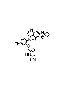 Cc1cc(N=S2(=O)CCC2)cc2ncnc(Nc3ccc(Cl)cc3OCC(=O)N[C@@H](C)C#N)c12